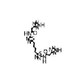 O=C(Cc1nn[nH]n1)Nc1nnc(CCCCc2nnc(NC(=O)Cc3nn[nH]n3)s2)s1